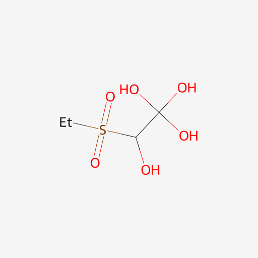 CCS(=O)(=O)C(O)C(O)(O)O